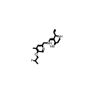 C=CC1NC=CC(=N)/C1=C\NCc1cc(C)c(OCC(C)F)cn1